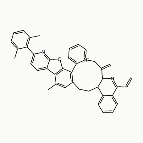 C=CC1=NC2C(=C)C[n+]3ccccc3-c3c(cc(C)c4c3oc3nc(-c5c(C)cccc5C)ccc34)CCC2c2ccccc21